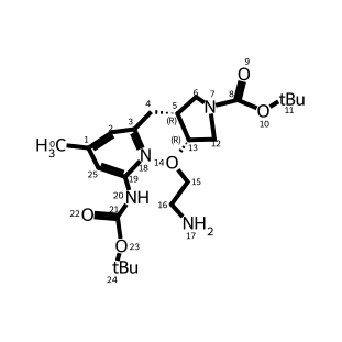 Cc1cc(C[C@@H]2CN(C(=O)OC(C)(C)C)C[C@@H]2OCCN)nc(NC(=O)OC(C)(C)C)c1